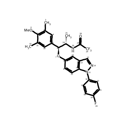 COc1c(C)cc([C@H](Oc2ccc3c(cnn3-c3ccc(F)cc3)c2)[C@H](C)NC(=O)C(F)(F)F)cc1C